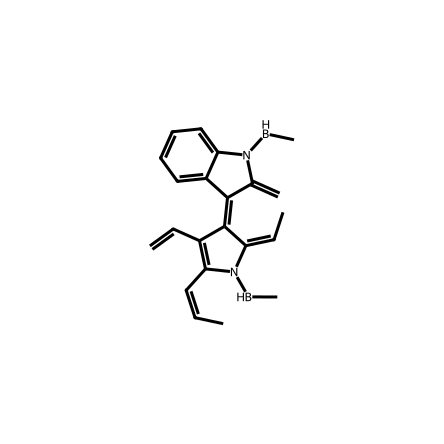 C=Cc1c(/C=C\C)n(BC)c(=C/C)/c1=c1\c(=C)n(BC)c2ccccc12